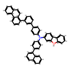 c1cc(-c2ccc(N(c3ccc(-c4cccc5ccccc45)cc3)c3ccc4c(c3)oc3ccccc34)cc2)cc(-c2cccc3c2ccc2ccccc23)c1